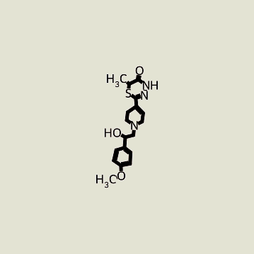 COc1ccc(C(O)CN2CC=C(C3=NNC(=O)C(C)S3)CC2)cc1